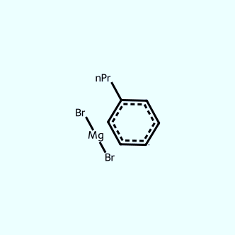 CCCc1cc[c]cc1.[Br][Mg][Br]